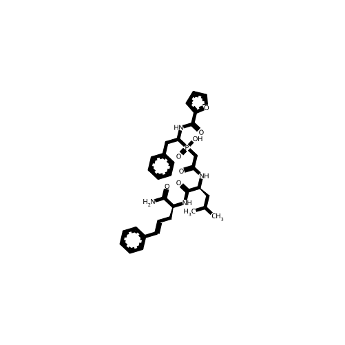 CC(C)C[C@H](NC(=O)CP(=O)(O)C(Cc1ccccc1)NC(=O)c1ccco1)C(=O)N[C@@H](C/C=C/c1ccccc1)C(N)=O